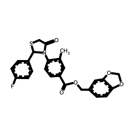 Cc1cc(C(=O)OCc2ccc3c(c2)OCO3)ccc1N1C(=O)CSC1c1ccc(F)cc1